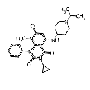 CC(C)N1CCC(Nc2cc(=O)n(C)c3c2c(=O)n(C2CC2)c(=O)n3-c2ccccc2)CC1